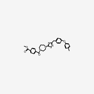 COC(=O)c1ccc(C(=O)N2CCCN(c3nc(Cc4ccc(Oc5ccc(C)cc5)cc4)ns3)CC2)cc1